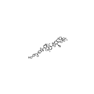 Cc1c(-c2nc3cc(CN4CC[C@@](C)(C(=O)O)C4)cc(C#N)c3o2)cccc1-c1cccc(-c2nc3c(s2)CN(C(=O)CN2CC(O)C2)C3)c1C